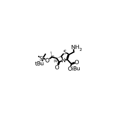 CC(C)COC(=O)C1=C(CN)SC2[C@@H]([C@@H](C)O[Si](C)(C)C(C)(C)C)C(=O)N12